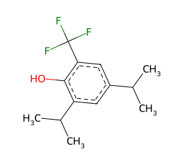 CC(C)c1cc(C(C)C)c(O)c(C(F)(F)F)c1